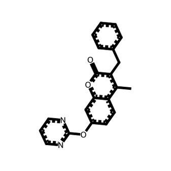 Cc1c(Cc2ccccc2)c(=O)oc2cc(Oc3ncccn3)ccc12